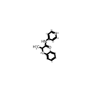 CC(Oc1ccccc1)C(=O)Nc1ccncc1